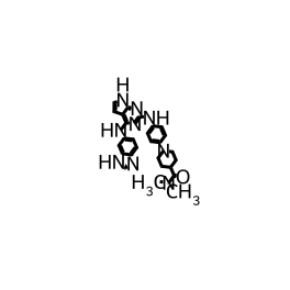 CN(C)C(=O)C1CCN(c2ccc(Nc3nc(Nc4ccc5nc[nH]c5c4)c4cc[nH]c4n3)cc2)CC1